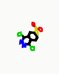 O=[SH](=O)c1ccc2c(Cl)nnc(Cl)c2c1